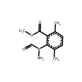 COC(=O)c1c(C)ccc(C)c1N(N)C=O